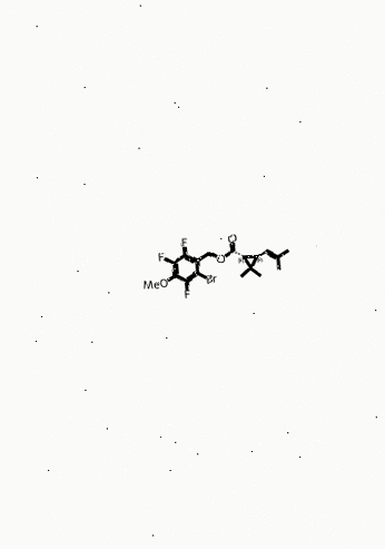 COc1c(F)c(F)c(COC(=O)[C@@H]2[C@@H](C=C(C)C)C2(C)C)c(Br)c1F